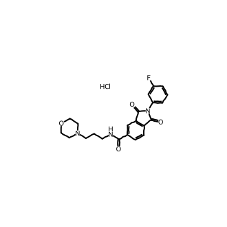 Cl.O=C(NCCCN1CCOCC1)c1ccc2c(c1)C(=O)N(c1cccc(F)c1)C2=O